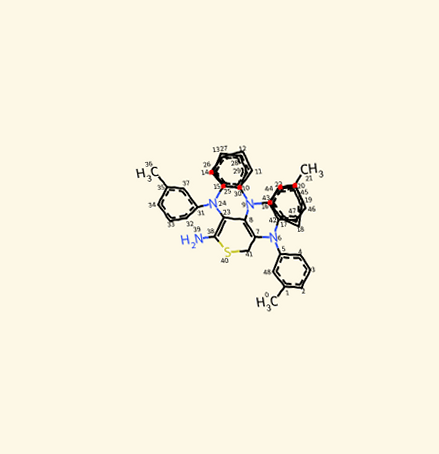 Cc1cccc(N(C2=C(N(c3ccccc3)c3cccc(C)c3)C(N(c3ccccc3)c3cccc(C)c3)=C(N)SC2)c2ccccc2)c1